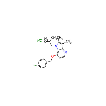 Cc1c(C)n(CC(C)C)c2c(OCc3ccc(F)cc3)ccnc12.Cl